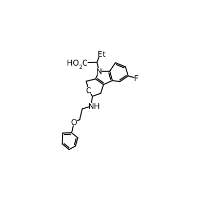 CCC(C(=O)O)n1c2c(c3cc(F)ccc31)CC(NCCOc1ccccc1)CC2